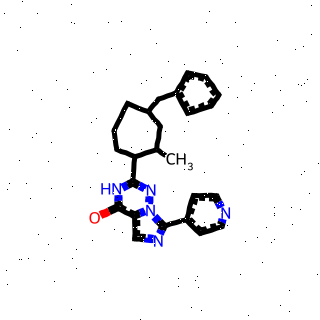 CC1CC(Cc2ccccc2)CCCC1c1nn2c(-c3ccncc3)ncc2c(=O)[nH]1